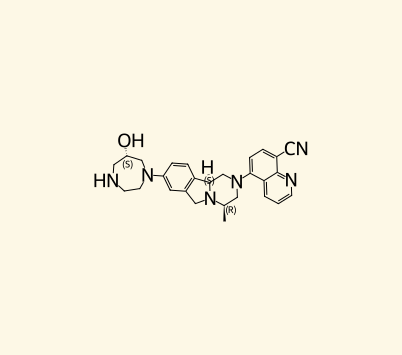 C[C@@H]1CN(c2ccc(C#N)c3ncccc23)C[C@@H]2c3ccc(N4CCNC[C@H](O)C4)cc3CN12